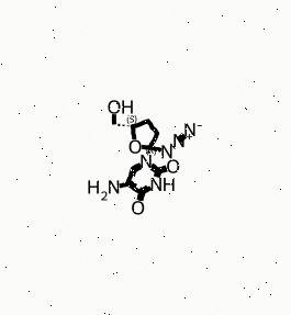 [N-]=[N+]=N[C@]1(n2cc(N)c(=O)[nH]c2=O)CC[C@@H](CO)O1